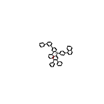 c1ccc(-c2cccc(-c3ccc(N(c4ccc(-c5cccc6ccccc56)cc4)c4ccc(-c5ccccc5)c(-c5ccccc5)c4)c(-c4ccccc4)c3)c2)cc1